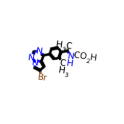 Cc1cc(-c2ncnn3cc(Br)cc23)ccc1[C@@H](C)NC(=O)O